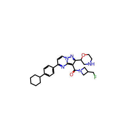 O=C(c1c(C2CNCCO2)nn2ccc(-c3ccc(C4CCCCC4)cc3)nc12)N1CC(CF)C1